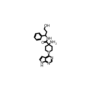 NC1(C(=O)NC(CCO)c2ccccc2)CCN(c2ncnc3[nH]ccc23)CC1